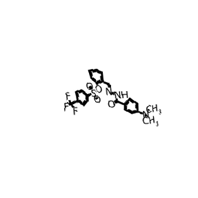 CN(C)c1ccc(C(=O)NN=Cc2ccccc2OS(=O)(=O)c2ccc(C(F)(F)F)cc2)cc1